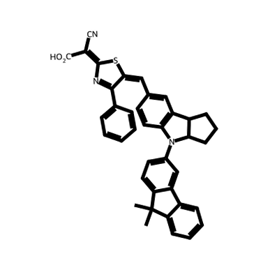 CC1(C)c2ccccc2-c2cc(N3c4ccc(/C=c5/s/c(=C(\C#N)C(=O)O)nc5-c5ccccc5)cc4C4CCCC43)ccc21